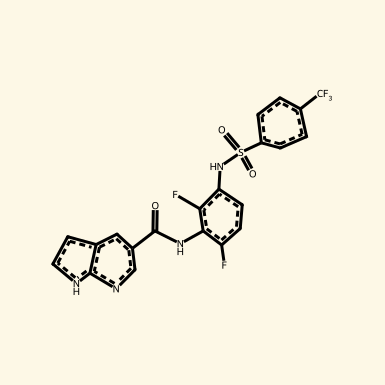 O=C(Nc1c(F)ccc(NS(=O)(=O)c2ccc(C(F)(F)F)cc2)c1F)c1cnc2[nH]ccc2c1